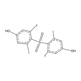 O=S(=O)(c1c(I)cc(O)cc1I)c1c(I)cc(O)cc1I